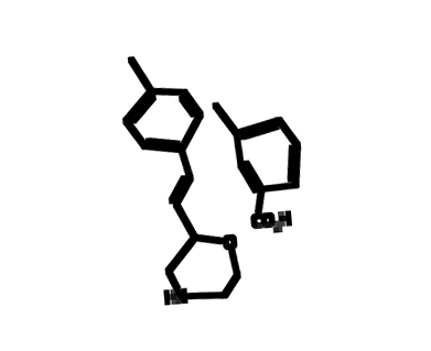 Cc1ccc(C=CC2CNCCO2)cc1.Cc1cccc(C(=O)O)c1